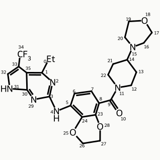 CCc1nc(Nc2ccc(C(=O)N3CCC(N4CCOCC4)CC3)c3c2OCCO3)nc2[nH]cc(C(F)(F)F)c12